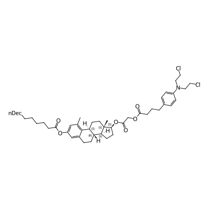 CCCCCCCCCCCCCCCC(=O)Oc1cc(C)c2c(c1)CC[C@@H]1[C@@H]2CC[C@]2(C)[C@@H](OC(=O)COC(=O)CCCc3ccc(N(CCCl)CCCl)cc3)CC[C@@H]12